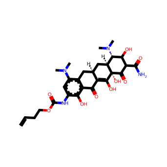 C=CCCOC(=O)Nc1cc(N(C)C)c2c(c1O)C(=O)C1=C(O)[C@]3(O)C(=O)C(C(N)=O)C(O)[C@@H](N(C)C)[C@@H]3C[C@@H]1C2